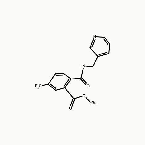 CC(C)(C)OC(=O)c1cc(C(F)(F)F)ccc1C(=O)NCc1cccnc1